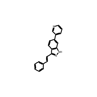 C(=C\c1n[nH]c2cc(-c3cccnc3)ccc12)/c1ccccc1